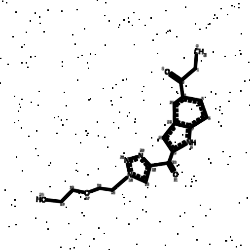 CCC(=O)c1ccc2[nH]c(C(=O)c3cn(CCOCCO)nn3)cc2c1